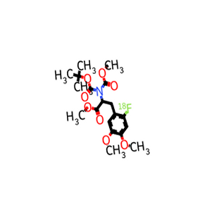 COC(=O)C(Cc1cc(OC)c(OC)cc1[18F])N(C(=O)OC)C(=O)OC(C)(C)C